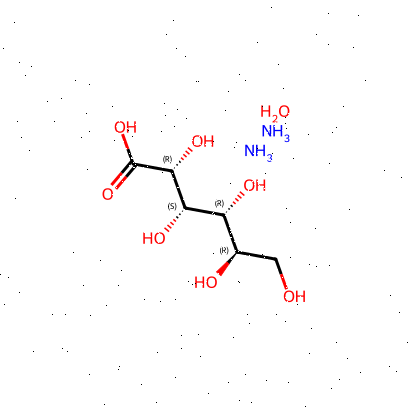 N.N.O.O=C(O)[C@H](O)[C@@H](O)[C@H](O)[C@H](O)CO